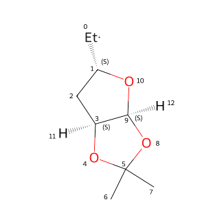 C[CH][C@H]1C[C@@H]2OC(C)(C)O[C@@H]2O1